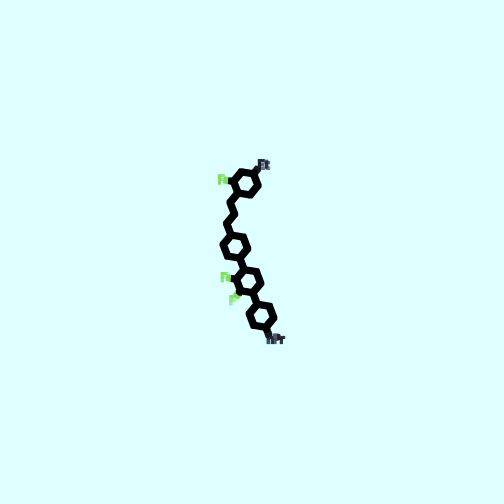 CCCC1CCC(C2CCC(C3CCC(CCCC4CCC(CC)CC4F)CC3)C(F)C2F)CC1